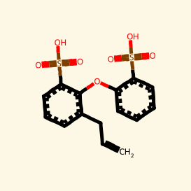 C=CCc1cccc(S(=O)(=O)O)c1Oc1ccccc1S(=O)(=O)O